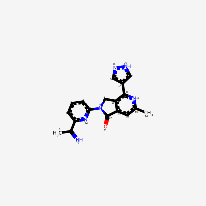 CC(=N)c1cccc(N2Cc3c(cc(C)nc3-c3cn[nH]c3)C2=O)n1